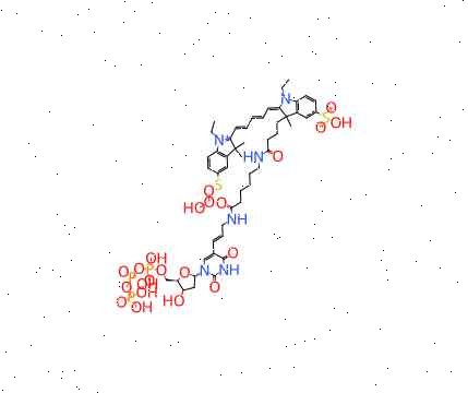 CCN1/C(=C/C=C/C=C/C2=[N+](CC)c3ccc(SOOO)cc3C2(C)C)C(C)(CCCC(=O)NCCCCCC(=O)NC/C=C/c2cn([C@H]3C[C@@H](O)[C@@H](COP(=O)(O)OP(=O)(O)OP(=O)(O)O)O3)c(=O)[nH]c2=O)c2cc(S(=O)(=O)O)ccc21